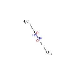 CCCCCCCCCCCC(=O)NCCNC(=O)CCCCCCCCCCC